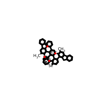 Cc1cc2c(c(-c3ccc4[se]c5ccccc5c4c3-c3ccc(-c4ccccc4)c(-c4c(C)c(C)cc5c4Cc4ccccc4-5)c3-c3ccnnn3)c1C)Cc1ccccc1-2